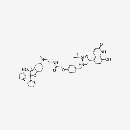 CN(CCNC(=O)COc1ccc(CNC[C@H](O[Si](C)(C)C(C)(C)C)c2ccc(O)c3[nH]c(=O)ccc23)cc1)[C@H]1CC[C@H](OC(C(=O)O)(c2cccs2)c2cccs2)CC1